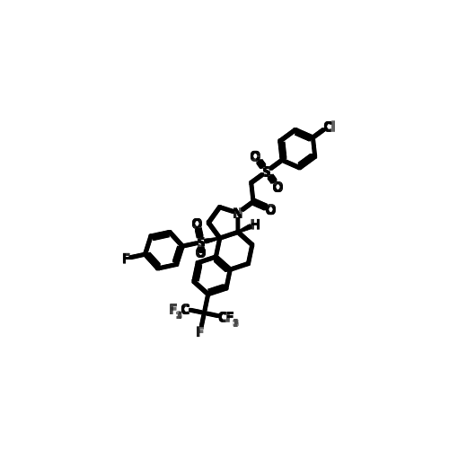 O=C(CS(=O)(=O)c1ccc(Cl)cc1)N1CC[C@@]2(S(=O)(=O)c3ccc(F)cc3)c3ccc(C(F)(C(F)(F)F)C(F)(F)F)cc3CC[C@@H]12